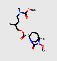 CCC(CCN(C)C(=O)OC(C)(C)C)COC(=O)[C@@H]1CC[C@@H]2CN1C(=O)N2OS(=O)(=O)O